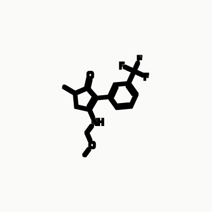 COCNC1=C(c2cccc(C(F)(F)F)c2)C(=O)C(C)C1